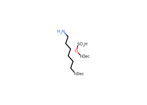 CCCCCCCCCCCCCCCCN.CCCCCCCCCCOS(=O)(=O)O